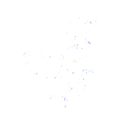 CC(C)Cc1ccc(S(=O)(=O)C[C@@H]2C[C@H](N(C)C(C)C)CC[C@@H]2NC(=O)Cc2nc3c(C(F)(F)F)cccc3[nH]2)cc1